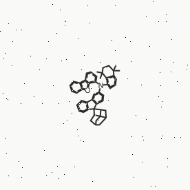 CC1(C)CCC(C)(C)c2c(N(c3ccc4c(c3)-c3ccccc3C43C4CC5CC6CC3C64C5)c3cccc4c3oc3ccccc34)cccc21